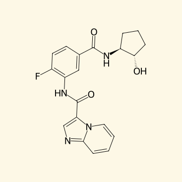 O=C(N[C@H]1CCC[C@@H]1O)c1ccc(F)c(NC(=O)c2cnc3ccccn23)c1